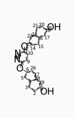 Oc1ccc2cc(Oc3ccc(Oc4ccc5cc(O)ccc5c4)nn3)ccc2c1